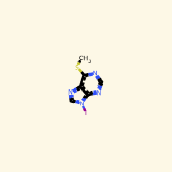 CSc1ncnc2c1ncn2I